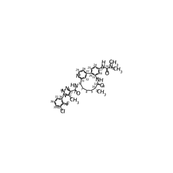 Cc1c(C(=O)N[C@H]2CCC[C@@H](C)C(=O)Nc3cc(NC(=O)N(C)C)ccc3-c3ccnc2c3)nnn1-c1cccc(Cl)c1F